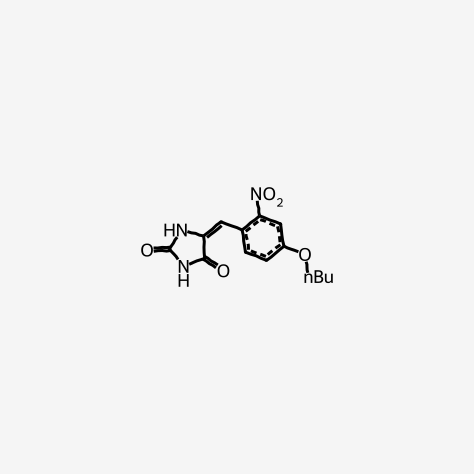 CCCCOc1ccc(/C=C2/NC(=O)NC2=O)c([N+](=O)[O-])c1